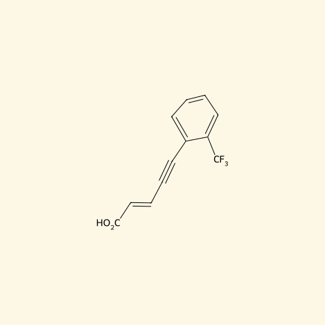 O=C(O)C=CC#Cc1ccccc1C(F)(F)F